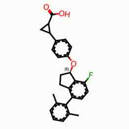 Cc1cccc(C)c1-c1ccc(F)c2c1CC[C@H]2Oc1ccc(C2CC2C(=O)O)cc1